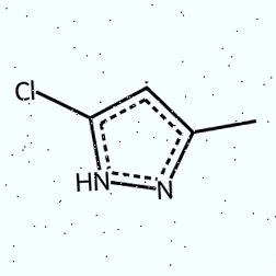 Cc1[c]c(Cl)[nH]n1